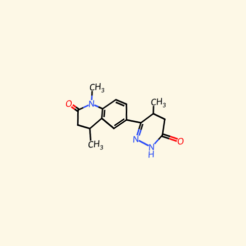 CC1CC(=O)NN=C1c1ccc2c(c1)C(C)CC(=O)N2C